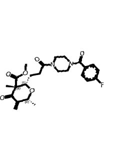 C=C1C(=O)[C@](C)(C(=O)OC)[C@H](CCC(=O)N2CCN(C(=O)c3ccc(F)cc3)CC2)O[C@@H]1C